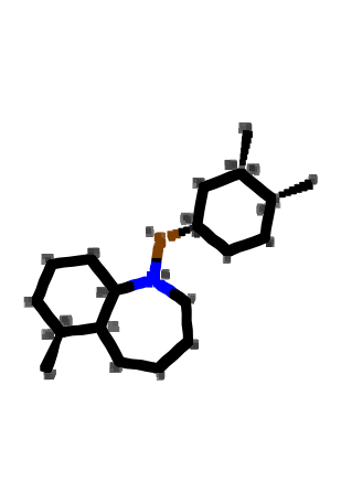 C[C@@H]1CC[C@H](SN2CCCCC3C2CCC[C@@H]3C)C[C@@H]1C